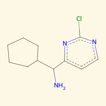 NC(c1ccnc(Cl)n1)C1CCCCC1